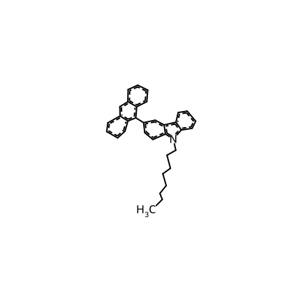 CCCCCCCCn1c2ccccc2c2cc(-c3c4ccccc4cc4ccccc34)ccc21